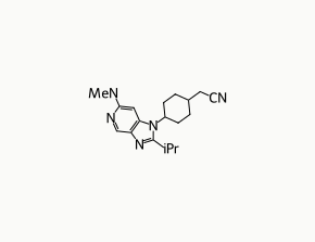 CNc1cc2c(cn1)nc(C(C)C)n2C1CCC(CC#N)CC1